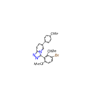 COc1ccc(-c2ccc3nnc(-c4c(OC)ccc(Br)c4OC)n3c2)cc1